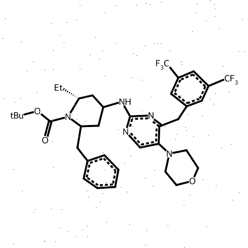 CC[C@@H]1CC(Nc2ncc(N3CCOCC3)c(Cc3cc(C(F)(F)F)cc(C(F)(F)F)c3)n2)CC(Cc2ccccc2)N1C(=O)OC(C)(C)C